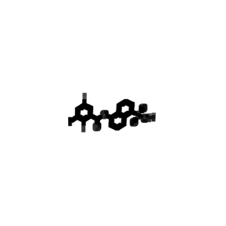 O=C(Oc1cccc2c(S(=O)(=O)O)cccc12)c1cc(I)cc(I)c1I